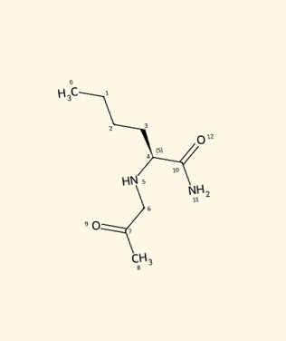 CCCC[C@H](NCC(C)=O)C(N)=O